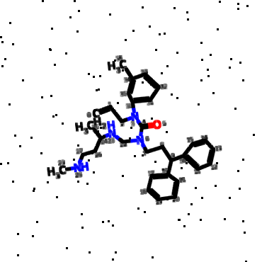 C=CCN(C(=O)N(CCC(c1ccccc1)c1ccccc1)CNC(C)CCNC)c1cccc(C)c1